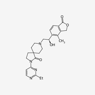 CCc1nccc(N2CCC3(CCN(C[C@H](O)c4ccc5c(c4C)COC5=O)CC3)C2=O)n1